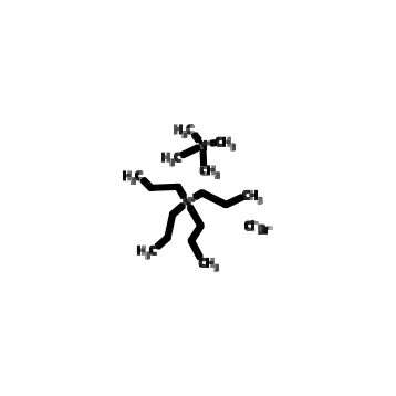 CCC[N+](CCC)(CCC)CCC.C[N+](C)(C)C.[Br-].[Cl-]